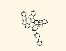 c1ccc(-c2ccc(-c3nc(-c4ccc5ccccc5c4)nc(-c4ccc5sc6cc7ccccc7cc6c5c4-n4c5cc6ccccc6cc5c5c6ccccc6ccc54)n3)cc2)cc1